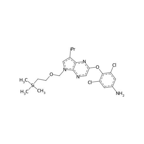 CC(C)c1cn(COCC[Si](C)(C)C)c2ncc(Oc3c(Cl)cc(N)cc3Cl)nc12